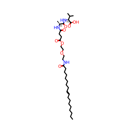 CCCCCCCCC=CCCCCCCCC(=O)NCCOCCOC(=O)CCC(=O)N[C@@H](C)C(=O)N[C@H](C(=O)O)C(C)C